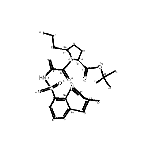 C=C(NS(=O)(=O)c1cccc2cc(C)cnc12)C(=O)N1[C@@H](CCI)CC[C@H]1C(=O)OC(C)(C)C